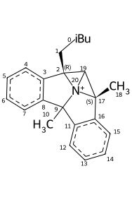 CCC(C)C[C@@]12c3ccccc3C3(C)c4ccccc4[C@@]4(C)C1[N+]342